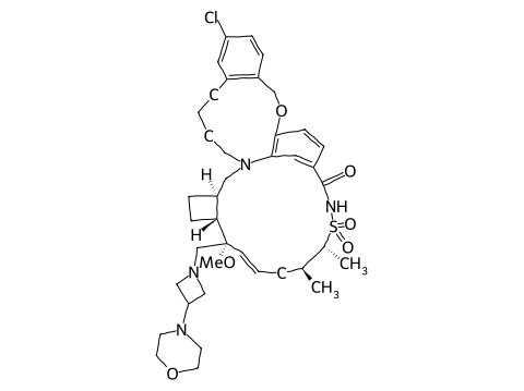 CO[C@@]1(CN2CC(N3CCOCC3)C2)/C=C/C[C@H](C)[C@@H](C)S(=O)(=O)NC(=O)c2ccc3c(c2)N(CCCCc2cc(Cl)ccc2CO3)C[C@@H]2CC[C@H]21